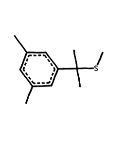 CSC(C)(C)c1cc(C)cc(C)c1